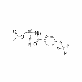 CC(=O)OC[C@](C)(C#N)NC(=O)c1ccc(SC(F)(F)F)cc1